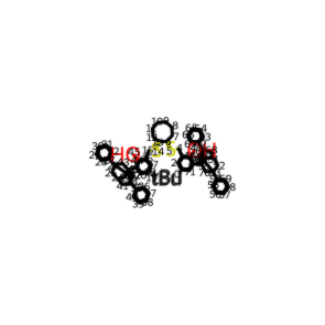 CC(C)(C)c1cc(CSC2CCCCCCC2SCc2cc(C(C)(C)C)cc(C34CC5CC(c6ccccc6)(CC(c6ccccc6)(C5)C3)C4)c2O)c(O)c(C23CC4CC(c5ccccc5)(CC(c5ccccc5)(C4)C2)C3)c1